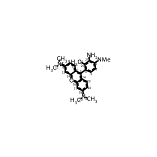 CNc1ccc(-c2c3ccc(=[N+](C)C)cc-3oc3cc(N(C)C)ccc23)c(C)c1N